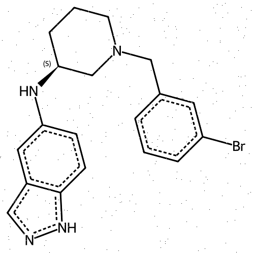 Brc1cccc(CN2CCC[C@H](Nc3ccc4[nH]ncc4c3)C2)c1